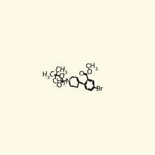 COC(=O)c1cc(Br)ccc1C1=CCN(C(=O)OC(C)(C)C)CC1